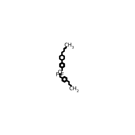 C=CCCc1ccc(CC(F)(F)OCc2ccc(C3CCC(CCC=CC)CC3)cc2)cc1